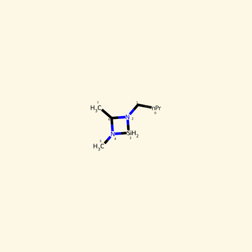 CCCCN1[SiH2]N(C)C1C